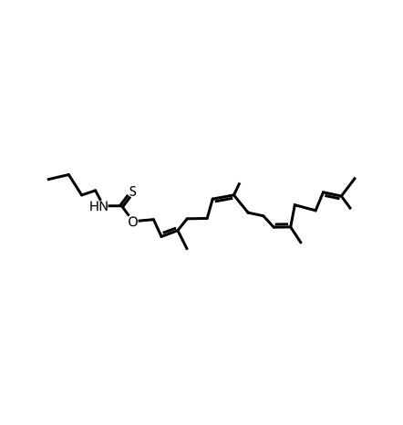 CCCCNC(=S)OCC=C(C)CCC=C(C)CCC=C(C)CCC=C(C)C